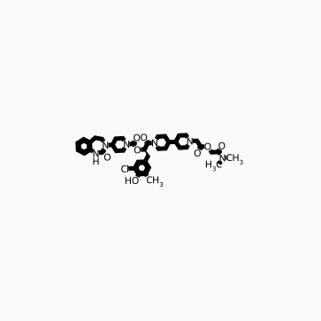 Cc1cc(C[C@@H](OC(=O)N2CCC(N3CCc4ccccc4NC3=O)CC2)C(=O)N2CCC(C3CCN(CC(=O)OCC(=O)N(C)C)CC3)CC2)cc(Cl)c1O